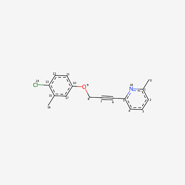 Cc1cccc(C#CCOc2ccc(Cl)c(C)c2)n1